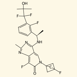 Cc1nc(N[C@H](C)c2cccc(C(F)(F)C(C)(C)O)c2F)c2cn(C34CC(F)(C3)C4)c(=O)c(F)c2n1